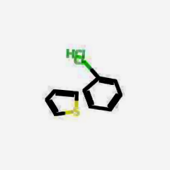 Cl.Clc1ccccc1.c1ccsc1